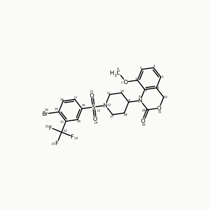 COc1cccc2c1N(C1CCN(S(=O)(=O)c3ccc(Br)c(C(F)(F)F)c3)CC1)C(=O)OC2